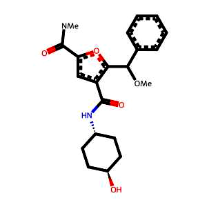 CNC(=O)c1cc(C(=O)N[C@H]2CC[C@H](O)CC2)c(C(OC)c2ccccc2)o1